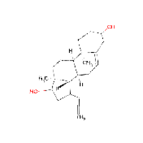 C=CC1CC(O)[C@@]2(C)CC[C@@H]3[C@@H](CC=C4CC(O)CC[C@@]43C)[C@H]12